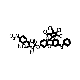 CN(c1ccccc1)c1ccc2c(c1)Oc1cc(OC(=O)NC(CO)[C@@H](O)c3ccc([N+](=O)[O-])cc3)ccc1C21OC(=O)c2c(Cl)c(Cl)c(Cl)c(Cl)c21